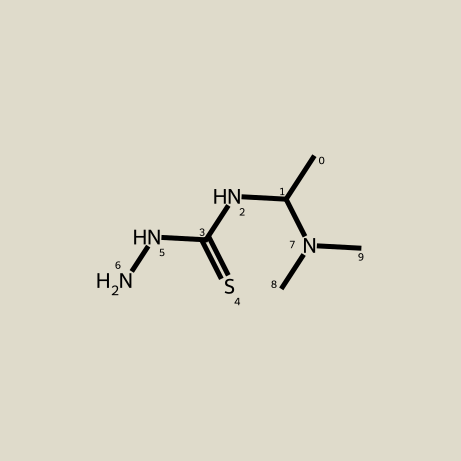 CC(NC(=S)NN)N(C)C